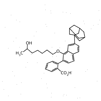 CC(O)CCCCCOc1c(-c2ccccc2C(=O)O)ccc2ccc(C34CC5CC(CC(C5)C3)C4)cc12